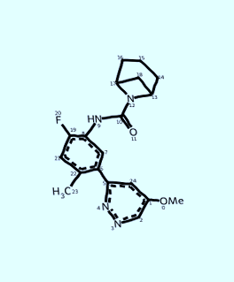 COc1cnnc(-c2cc(NC(=O)N3C4CCCC3C4)c(F)cc2C)c1